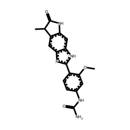 COc1cc(NC(N)=O)ccc1-c1nc2cc3c(cc2[nH]1)NC(=O)C3C